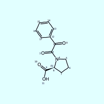 O=C(C(=O)N1CCC[C@H]1C(=O)O)c1ccccc1